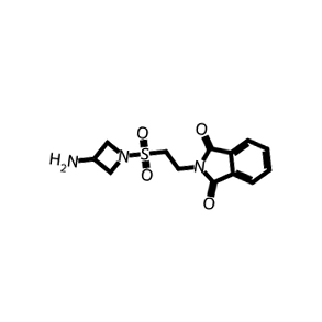 NC1CN(S(=O)(=O)CCN2C(=O)c3ccccc3C2=O)C1